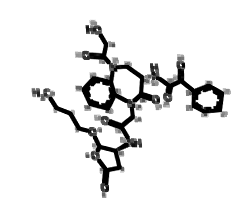 CCCCOC1OC(=O)C[C@@H]1NC(=O)CN1C(=O)[C@@H](NC(=O)C(=O)c2ccccc2)CN(C(=O)CO)c2ccccc21